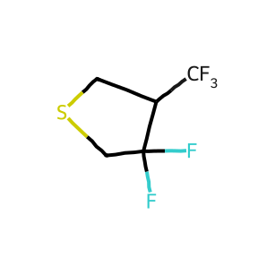 FC(F)(F)C1CSCC1(F)F